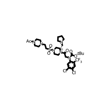 CC(=O)N1CCN(CCS(=O)(=O)N2CCN(C(=O)CN(C(=O)OC(C)(C)C)c3cc(Cl)c(Cl)cc3C(F)(F)F)[C@@H](CN3CCCC3)C2)CC1